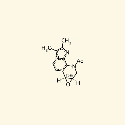 CC(=O)N1C[C@H]2O[C@H]2c2ccn3c(C)c(C)nc3c21